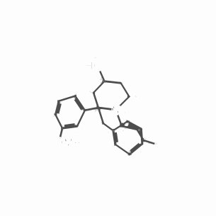 COc1cccc(C2(Cc3ccccc3)CC(O)CCN2CCCCl)c1